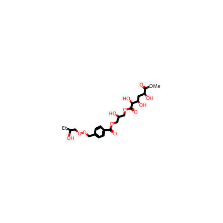 CCC(O)COOCc1ccc(C(=O)OCC(O)COC(=O)C(O)C(O)CC(O)C(=O)OC)cc1